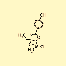 C=C(Cl)C1OC(c2ccc(C)cc2)=NC1(C)CC